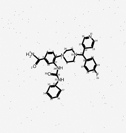 NC(=O)c1ccc(N2CCN(C(c3ccncc3)c3ccc(F)cc3)CC2)c(NC(=O)Nc2ccccc2)c1